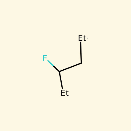 C[CH]CC(F)CC